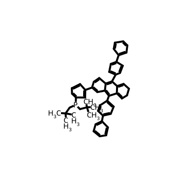 CC(C)(C)CP(CC(C)(C)C)c1cccc(-c2ccc3c(-c4ccc(-c5ccccc5)cc4)c4c(c(-c5ccc(-c6ccccc6)cc5)c3c2)=CCCC=4)c1